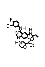 C=CC(=O)Nc1cc2c(Nc3ccc(F)c(Cl)c3)ncnc2cc1OC(CC)C1CNCCO1